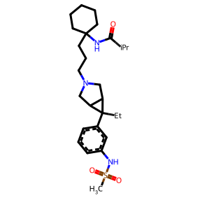 CCC1(c2cccc(NS(C)(=O)=O)c2)C2CN(CCCC3(NC(=O)C(C)C)CCCCC3)CC21